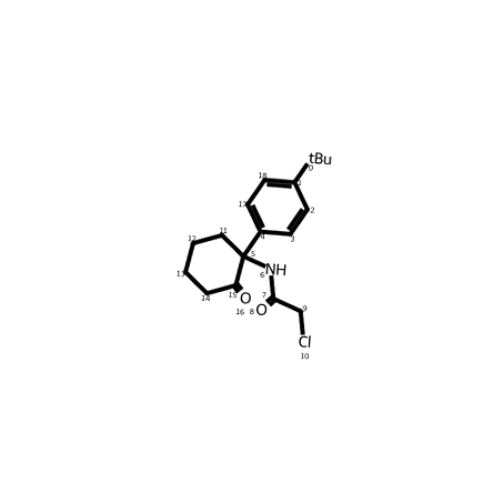 CC(C)(C)c1ccc(C2(NC(=O)CCl)CCCCC2=O)cc1